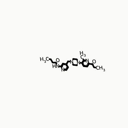 CCCC(=O)Nc1cc(CN2CCN(c3ccc(C(=O)CC)nc3C)CC2)ccn1